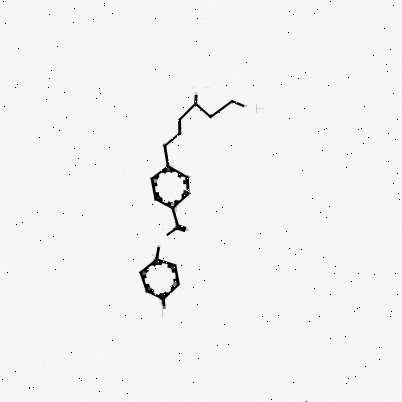 CCCC(C)CCCc1ccc(C(=O)Oc2ccc(F)cc2)cc1